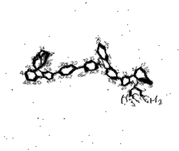 C=C/C=C(\C=C/C)n1c2ccccc2c2cc(-c3ccc4c(c3)c3ccccc3n4-c3ccc(-c4ccc(-c5ccc6c(c5)C5(c7ccccc7-6)C6CC7CC(C6)CC5C7)cc4)cc3)ccc21